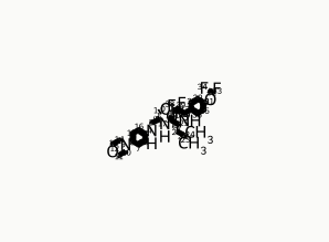 CC[C@@H](CNc1ccc(N2CCOCC2)cc1)NC(=O)[C@H](CC(C)C)N[C@@H](c1ccc(OC(F)F)cc1)C(F)(F)F